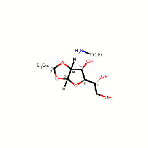 CCOC(N)=O.OC[C@@H](O)[C@H]1O[C@@H]2O[C@H](C(Cl)(Cl)Cl)O[C@@H]2[C@H]1O